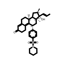 CC=C[C@]1(O)[C@H](C)CC2[C@@H]3CCC4=CC(=O)CCC4=C3[C@@H](c3ccc(S(=O)(=O)N4CCCCC4)cc3)C[C@@]21C